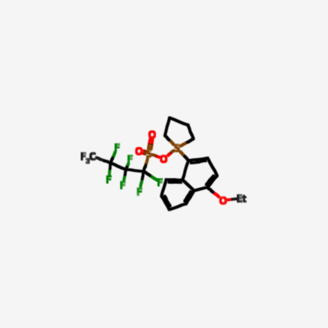 CCOc1ccc(S2(OS(=O)(=O)C(F)(F)C(F)(F)C(F)(F)C(F)(F)F)CCCC2)c2ccccc12